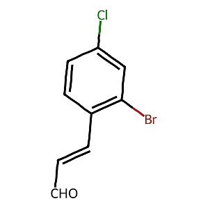 O=CC=Cc1ccc(Cl)cc1Br